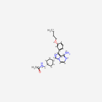 CCCCOc1cccc(-c2nc([C@H]3CC[C@@H](CNC(C)=O)CC3)n3ccnc(N)c23)c1